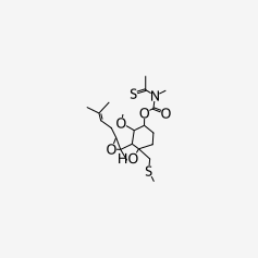 COC1C(OC(=O)N(C)C(C)=S)CCC(O)(CSC)C1C1(C)OC1CC=C(C)C